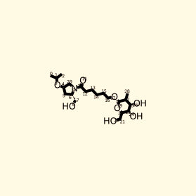 CC(C)OC1C[C@@H](CO)N(C(=O)CCCCCO[C@@H]2OC(CO)[C@H](O)[C@H](O)C2C)C1